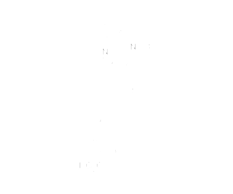 CC(=Cc1ccc(C(=O)O)cc1)c1ccc2c(c1)N(C)C(C)C(C)N2C